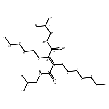 CCCCCCCC(C(=O)OCC(C)C)=C(CCCCCC)C(=O)OCC(C)C